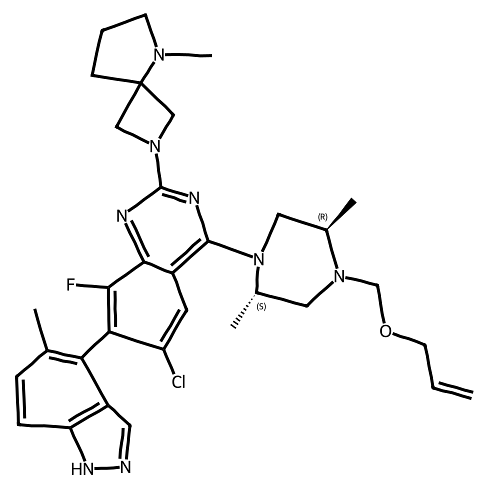 C=CCOCN1C[C@H](C)N(c2nc(N3CC4(CCCN4C)C3)nc3c(F)c(-c4c(C)ccc5[nH]ncc45)c(Cl)cc23)C[C@H]1C